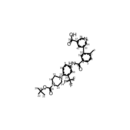 Cc1ccc(C(=O)Nc2ccc(N3CCN(C(=O)OC(C)(C)C)CC3)c(C(F)(F)F)c2)cc1-c1cncc(C(=O)O)c1